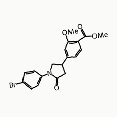 COC(=O)c1ccc(C2CC(=O)N(c3ccc(Br)cc3)C2)cc1OC